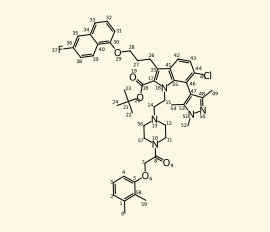 Cc1cccc(OCC(=O)N2CCN(CCn3c(C(=O)OC(C)(C)C)c(CCCOc4cccc5cc(F)ccc45)c4ccc(Cl)c(-c5c(C)nn(C)c5C)c43)CC2)c1C